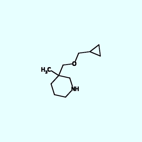 CC1(COCC2CC2)CCCNC1